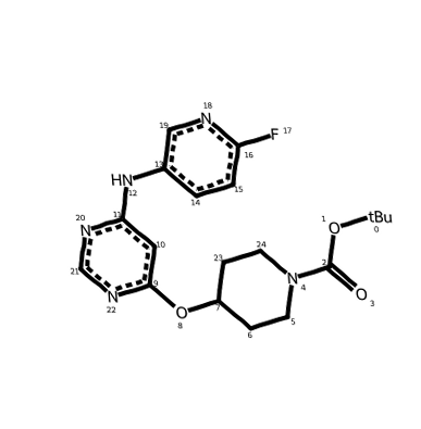 CC(C)(C)OC(=O)N1CCC(Oc2cc(Nc3ccc(F)nc3)ncn2)CC1